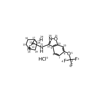 Cl.FC(F)(F)Oc1ccc2c(N[C@H]3CN4CCC3CC4)noc2c1